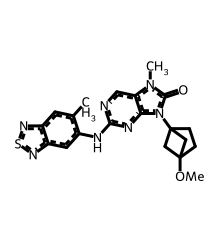 COC12CCC(n3c(=O)n(C)c4cnc(Nc5cc6nsnc6cc5C)nc43)(C1)C2